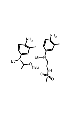 CCCCOC(C)N(CC)c1ccc(N)c(C)c1.CCN(CCNS(C)(=O)=O)c1ccc(N)c(C)c1